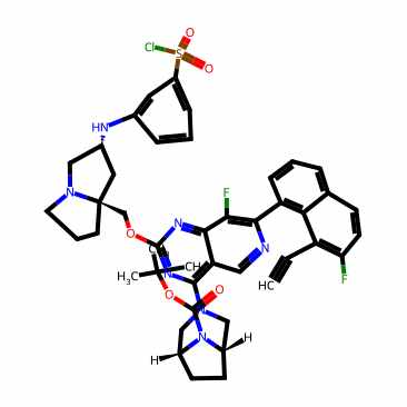 C#Cc1c(F)ccc2cccc(-c3ncc4c(N5C[C@H]6CC[C@@H](C5)N6C(=O)OC(C)(C)C)nc(OC[C@@]56CCCN5C[C@H](Nc5cccc(S(=O)(=O)Cl)c5)C6)nc4c3F)c12